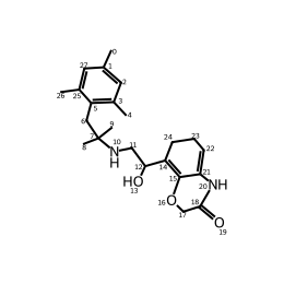 Cc1cc(C)c(CC(C)(C)NCC(O)C2=C3OCC(=O)NC3=CCC2)c(C)c1